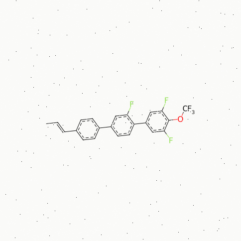 CC=Cc1ccc(-c2ccc(-c3cc(F)c(OC(F)(F)F)c(F)c3)c(F)c2)cc1